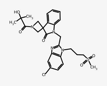 CC(C)(O)C(=O)N1CC2(C1)C(=O)N(Cc1nc3cc(Cl)ccc3n1CCCS(C)(=O)=O)c1ccccc12